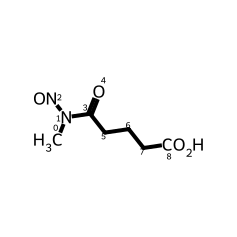 CN(N=O)C(=O)CCCC(=O)O